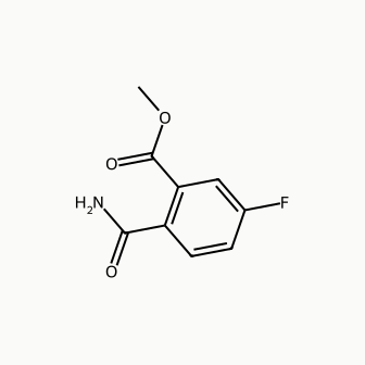 COC(=O)c1cc(F)ccc1C(N)=O